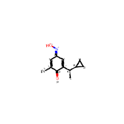 CC(C)C1=C/C(=N\O)C=C([C@H](C)C2CC2)C1=O